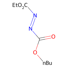 CCCCOC(=O)N=NC(=O)OCC